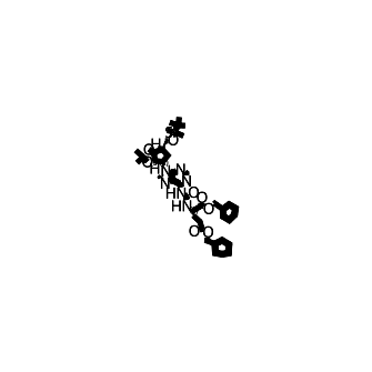 CC1(C)O[C@@H]2[C@@H](CO[Si](C)(C)C(C)(C)C)C[C@@H](n3cnc4c(NC(=O)N[C@@H](CCC(=O)OCc5ccccc5)C(=O)OCc5ccccc5)ncnc43)[C@@H]2O1